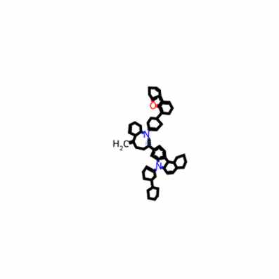 C=C1CC/C(c2ccc3c(c2)N(C2=CCCC(C4CCCCC4)C2)C2C=CC4CCCCC4C32)=C\N(C2=CCC(C3=c4oc5c(c4=CCC3)C=CCC5)CC2)C2CCC=CC12